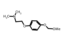 COCOc1ccc(OCCN(C)C)cc1